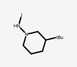 CC(C)(C)C1CCCN(NI)C1